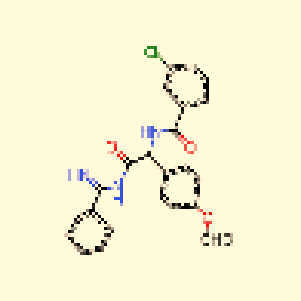 N=C(NC(=O)C(NC(=O)c1cccc(Cl)c1)c1ccc(OC=O)cc1)c1ccccc1